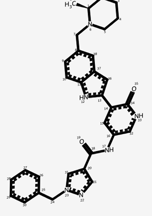 C[C@H]1CCCCN1Cc1ccc2[nH]c(-c3cc(NC(=O)c4cnn(Cc5ccccc5)c4)c[nH]c3=O)cc2c1